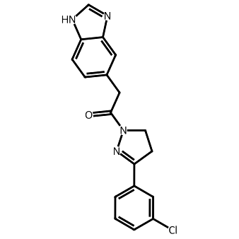 O=C(Cc1ccc2[nH]cnc2c1)N1CCC(c2cccc(Cl)c2)=N1